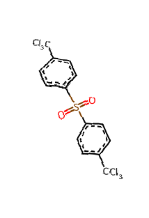 O=S(=O)(c1ccc(C(Cl)(Cl)Cl)cc1)c1ccc(C(Cl)(Cl)Cl)cc1